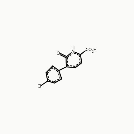 O=C(O)c1ccc(-c2ccc(Cl)cc2)c(=O)[nH]1